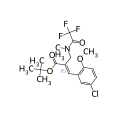 COc1ccc(Cl)cc1/C=C(\CN(C)C(=O)C(F)(F)F)C(=O)OC(C)(C)C